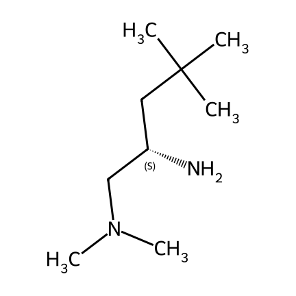 CN(C)C[C@@H](N)CC(C)(C)C